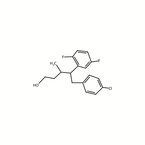 CC(CCO)C(Cc1ccc(Cl)cc1)c1cc(F)ccc1F